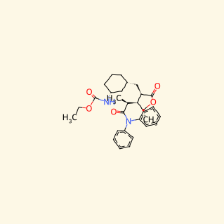 CCOC(=O)N[C@@H]1CCC[C@H](C[C@H]2C(=O)O[C@H](C)[C@H]2[C@H](C)C(=O)N(c2ccccc2)c2ccccc2)C1